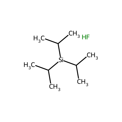 CC(C)[Si](C(C)C)C(C)C.F